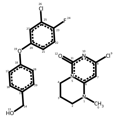 CN1CCCn2c1cc(Cl)nc2=O.OCc1ccc(Oc2ccc(F)c(Cl)c2)cc1